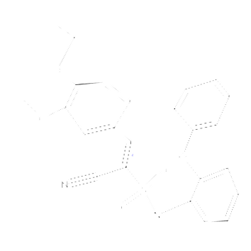 CCOc1ccc(/C=C(\C#N)S(=O)(=O)Nc2ccccc2Oc2ccccc2)cc1OC